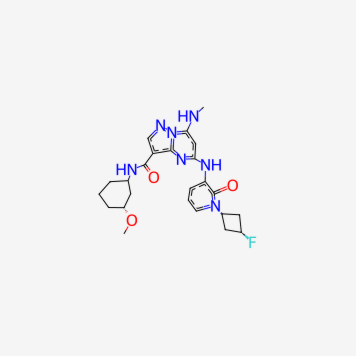 CNc1cc(Nc2cccn([C@H]3C[C@H](F)C3)c2=O)nc2c(C(=O)NC3CCC[C@@H](OC)C3)cnn12